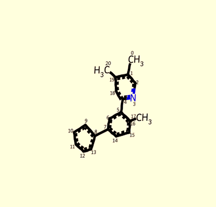 Cc1cnc(-c2cc(-c3ccccc3)ccc2C)cc1C